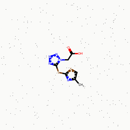 Cc1csc(Sc2nnnn2CC(=O)O)n1